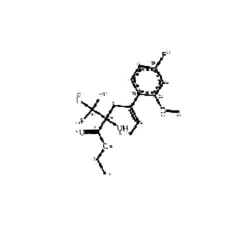 CC=C(CC(O)(C(=O)OCC)C(F)(F)F)c1ccc(F)cc1OC